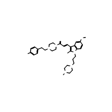 COc1ccc2c(c1)c(C=CC(=O)N1CCN(CCc3ccc(F)cc3)CC1)c(C)n2CCCN1CCN(C)CC1